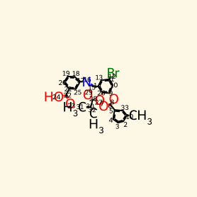 Cc1cccc(C(=O)Oc2cc(Br)cc(C=Nc3cccc(C(=O)O)c3)c2OC(=O)C(C)C)c1